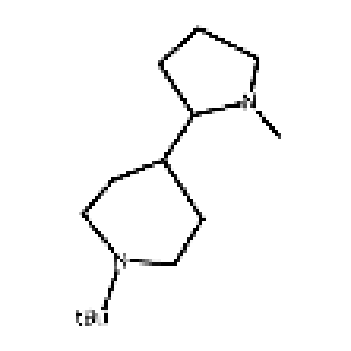 CN1CCCC1C1CCN(C(C)(C)C)CC1